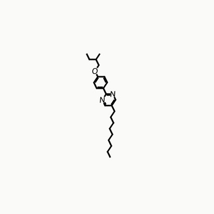 CCCCCCCCCc1cnc(-c2ccc(OCC(C)CC)cc2)nc1